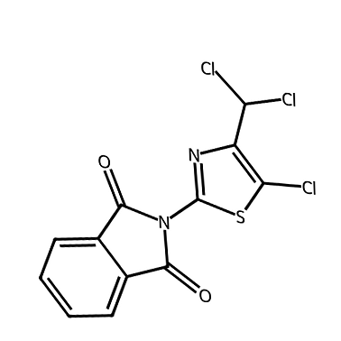 O=C1c2ccccc2C(=O)N1c1nc(C(Cl)Cl)c(Cl)s1